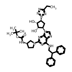 CCc1nnn([C@H]2C[C@@H](n3cnc4c(NCC(c5ccccc5)c5ccccc5)nc(N5CC[C@@H](NC(=O)OC(C)(C)C)C5)nc43)[C@H](O)[C@@H]2O)n1